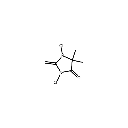 C=C1N(Cl)C(=O)C(C)(C)N1Cl